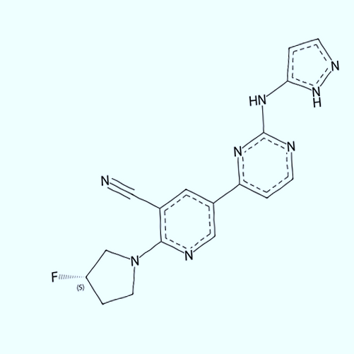 N#Cc1cc(-c2ccnc(Nc3ccn[nH]3)n2)cnc1N1CC[C@H](F)C1